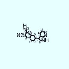 N#CC(=Cc1ccc(-c2c[nH]c3ncccc23)cc1)C(N)=O